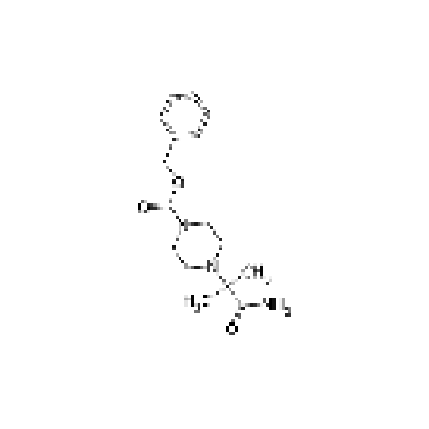 CC(C)(C(N)=O)N1CCN(C(=O)OCc2ccccc2)CC1